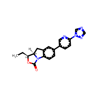 CC[C@@H]1OC(=O)N2c3ccc(-c4ccc(-n5cncn5)nc4)cc3C[C@H]12